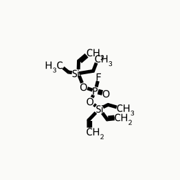 C=C[Si](C=C)(CC)OP(=O)(F)O[Si](C=C)(CC)CC